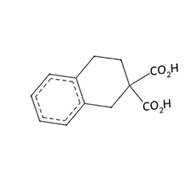 O=C(O)C1(C(=O)O)CCc2ccccc2C1